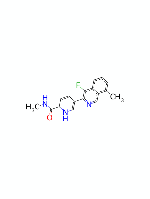 CNC(=O)C1C=CC(c2ncc3c(C)cccc3c2F)=CN1